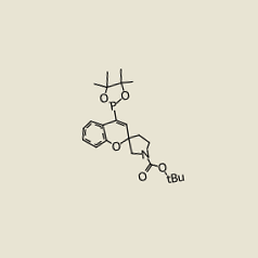 CC(C)(C)OC(=O)N1CCC2(C=C(P3OC(C)(C)C(C)(C)O3)c3ccccc3O2)C1